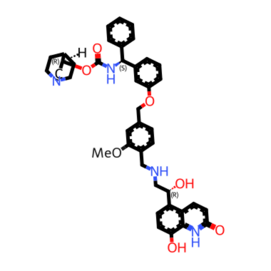 COc1cc(COc2cccc([C@@H](NC(=O)O[C@H]3CN4CCC3CC4)c3ccccc3)c2)ccc1CNC[C@H](O)c1ccc(O)c2[nH]c(=O)ccc12